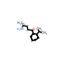 CC(C)c1ccccc1C(=O)CC[C@@H](C)N